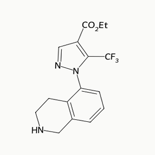 CCOC(=O)c1cnn(-c2cccc3c2CCNC3)c1C(F)(F)F